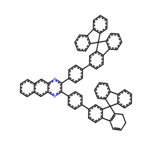 C1=CC2=C(CC1)C1(c3cc(-c4ccc(-c5nc6cc7ccccc7cc6nc5-c5ccc(-c6ccc7c(c6)C6(c8ccccc8-c8ccccc86)c6ccccc6-7)cc5)cc4)ccc32)c2ccccc2-c2ccccc21